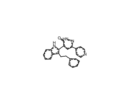 O=c1[nH]nc(-c2ccncc2)cc1-c1[nH]c2ccccc2c1CCc1ccccc1